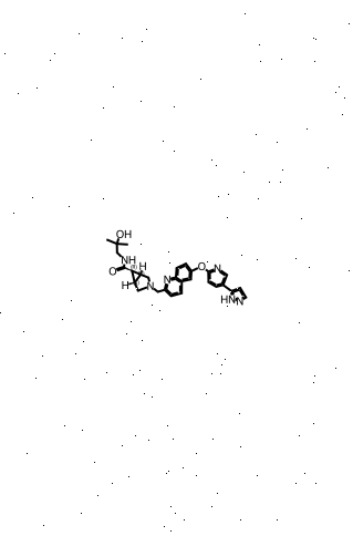 CC(C)(O)CNC(=O)[C@H]1[C@@H]2CN(Cc3ccc4cc(Oc5ccc(-c6ccn[nH]6)cn5)ccc4n3)C[C@@H]21